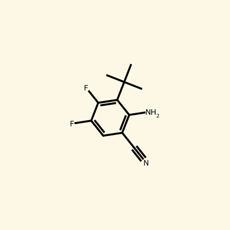 CC(C)(C)c1c(N)c(C#N)cc(F)c1F